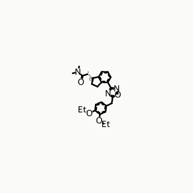 CCOc1ccc(Cc2nc(-c3cccc4c3CC[C@@H]4[CH]C(=O)N(C)C)no2)cc1OCC